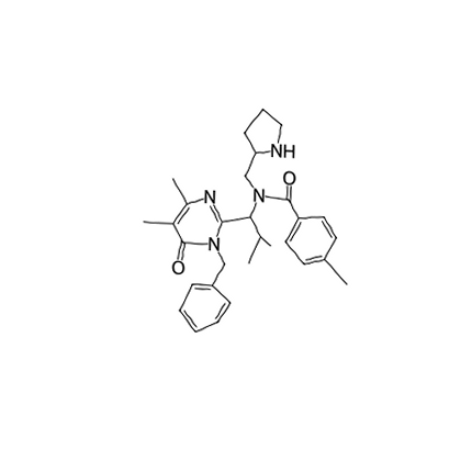 Cc1ccc(C(=O)N(CC2CCCN2)C(c2nc(C)c(C)c(=O)n2Cc2ccccc2)C(C)C)cc1